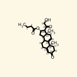 CCCC(=O)O[C@H]1CC2C3CCC4=CC(=O)CC[C@]4(C)C3=CC[C@]2(C)C1C(=O)CO